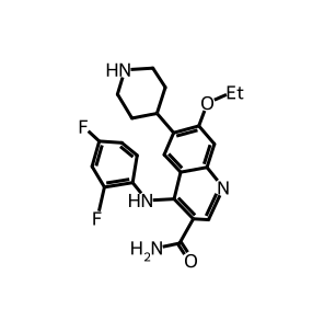 CCOc1cc2ncc(C(N)=O)c(Nc3ccc(F)cc3F)c2cc1C1CCNCC1